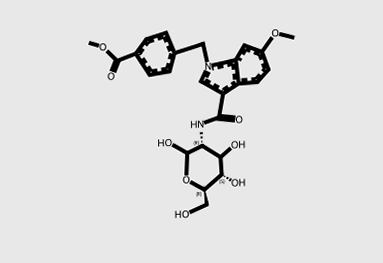 COC(=O)c1ccc(Cn2cc(C(=O)N[C@H]3C(O)O[C@H](CO)[C@@H](O)C3O)c3ccc(OC)cc32)cc1